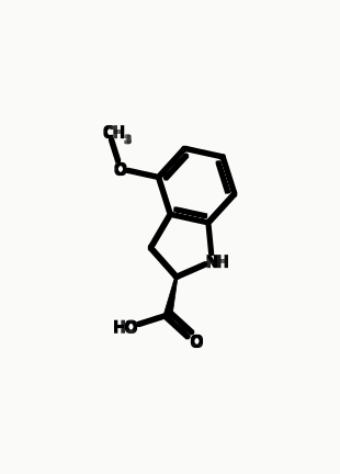 COc1cccc2c1C[C@H](C(=O)O)N2